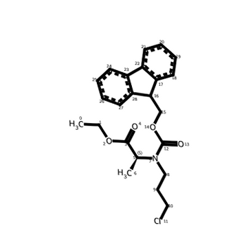 CCOC(=O)[C@H](C)N(CCCCl)C(=O)OCC1c2ccccc2-c2ccccc21